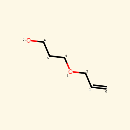 C=CCOCCC[O]